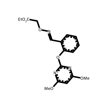 CCOC(=O)CON=Cc1ccccc1Oc1nc(OC)cc(OC)n1